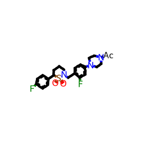 CC(=O)N1CCN(c2ccc(CN3CCCC(c4ccc(F)cc4)S3(=O)=O)c(F)c2)CC1